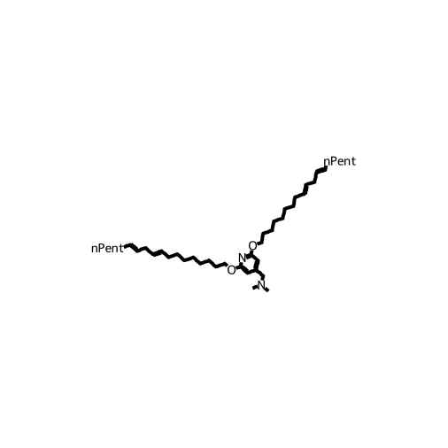 CCCCCC=CCC=CCCCCCCCCOc1cc(CN(C)C)cc(OCCCCCCCCC=CCC=CCCCCC)n1